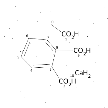 CC(=O)O.O=C(O)c1ccccc1C(=O)O.[CaH2]